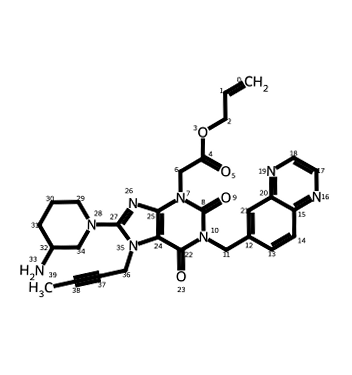 C=CCOC(=O)Cn1c(=O)n(Cc2ccc3nccnc3c2)c(=O)c2c1nc(N1CCCC(N)C1)n2CC#CC